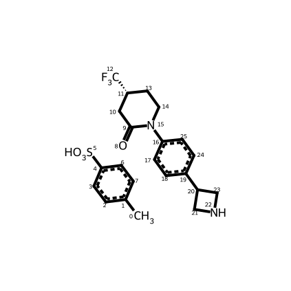 Cc1ccc(S(=O)(=O)O)cc1.O=C1C[C@H](C(F)(F)F)CCN1c1ccc(C2CNC2)cc1